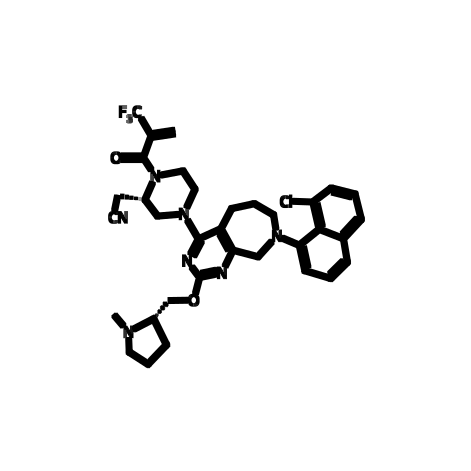 C=C(C(=O)N1CCN(c2nc(OC[C@@H]3CCCN3C)nc3c2CCCN(c2cccc4cccc(Cl)c24)C3)C[C@@H]1CC#N)C(F)(F)F